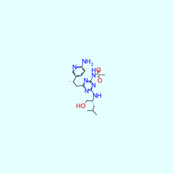 CC(C)C[C@H](CO)Nc1nc(C[C@H](C)c2ccc(N)nc2)nc(NS(C)(=O)=O)n1